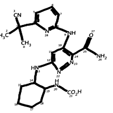 CC(C)(C#N)c1cccc(Nc2cc(NC3CCCCC3NC(=O)O)nnc2C(N)=O)n1